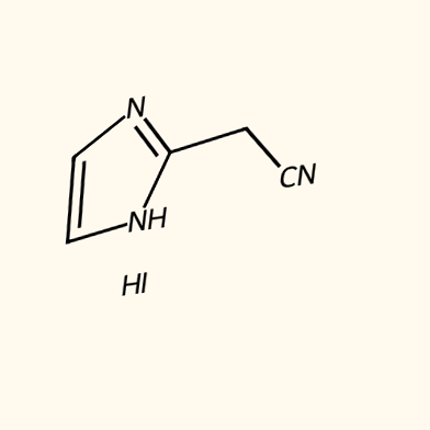 I.N#CCc1ncc[nH]1